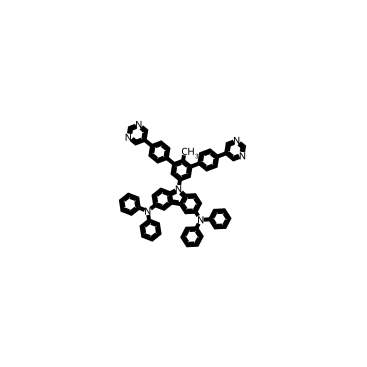 Cc1c(-c2ccc(-c3cncnc3)cc2)cc(-n2c3ccc(N(c4ccccc4)c4ccccc4)cc3c3cc(N(c4ccccc4)c4ccccc4)ccc32)cc1-c1ccc(-c2cncnc2)cc1